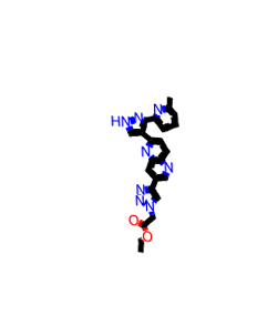 CCOC(=O)Cn1cc(-c2cnc3ccc(-c4c[nH]nc4-c4cccc(C)n4)nc3c2)nn1